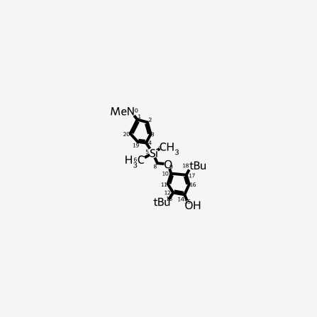 CNc1ccc([Si](C)(C)COc2cc(C(C)(C)C)c(O)cc2C(C)(C)C)cc1